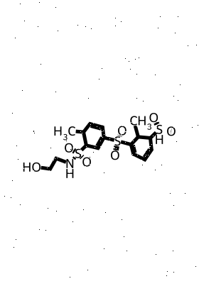 CC1C=CC(S(=O)(=O)C2=CC=CC([SH](=O)=O)C2C)=CC1S(=O)(=O)NCCO